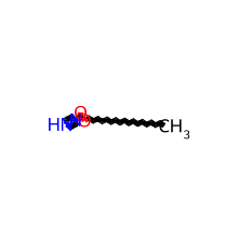 CCCCCCCCCCCCCCCCCCOC(=O)N1CCNCC1